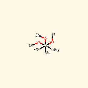 CCC[CH2][Zr]([CH2]CCC)([CH2]CCC)([O]CC)([O]CC)[O]CC